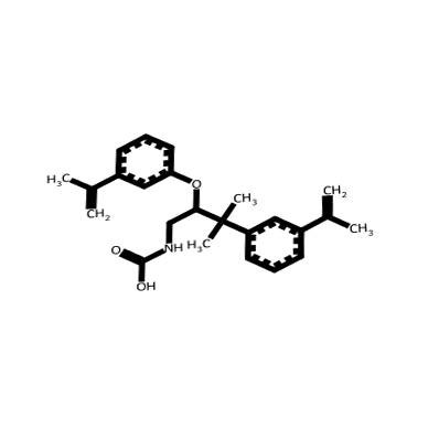 C=C(C)c1cccc(OC(CNC(=O)O)C(C)(C)c2cccc(C(=C)C)c2)c1